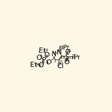 CCCn1nc(OP(=O)(OCC)OCC)c(Cl)c1S(=O)(=O)C(C)C